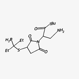 BC(CC)(CC)SC1CC(=O)N(C(CN)C(=O)C(C)(C)C)C1=O